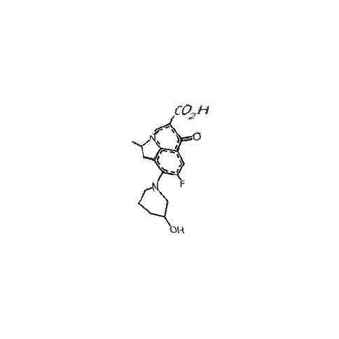 CC1Cc2c(N3CCCC(O)C3)c(F)cc3c(=O)c(C(=O)O)cn1c23